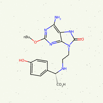 CCCCOc1nc(N)c2[nH]c(=O)n(CCN[C@H](C(=O)O)c3ccc(O)cc3)c2n1